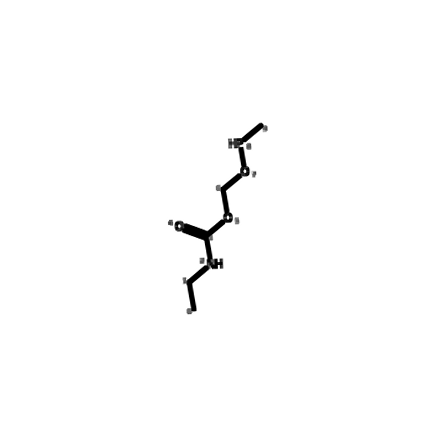 CCNC(=O)OCOPC